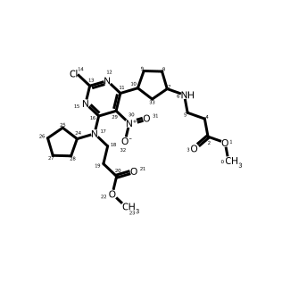 COC(=O)CCNC1CCC(c2nc(Cl)nc(N(CCC(=O)OC)C3CCCC3)c2[N+](=O)[O-])C1